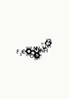 C[C@@H]1COCCN1CCNc1nnc(-c2ccc(C(F)(F)F)cc2O)c2ccccc12